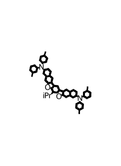 Cc1ccc(N(c2cccc(C)c2)c2ccc3cc4c(cc3c2)oc2c(C(C)C)c3oc5cc6cc(N(c7ccc(C)cc7)c7cccc(C)c7)ccc6cc5c3cc24)cc1